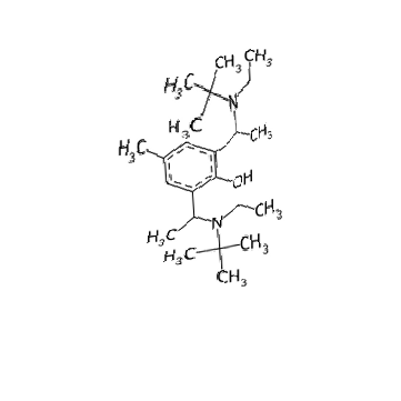 CCN(C(C)c1cc(C)cc(C(C)N(CC)C(C)(C)C)c1O)C(C)(C)C